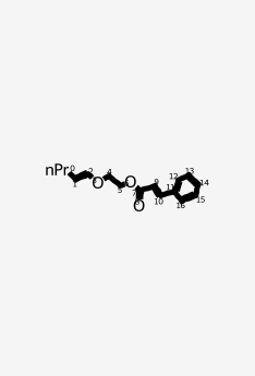 CCCC=COCCOC(=O)/C=C/c1ccccc1